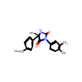 CCCC1(c2ccc(OC)cc2)NC(=O)N(c2ccc(C#N)c(C(F)(F)F)c2)C1=O